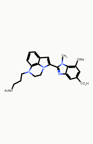 COc1cc(C(=O)O)cc2nc(-c3cc4cccc5c4n3CCN5CCCNC(C)=O)n(C)c12